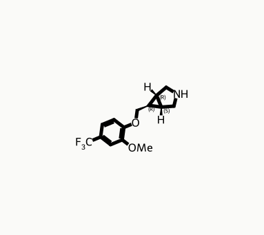 COc1cc(C(F)(F)F)ccc1OC[C@H]1[C@@H]2CNC[C@@H]21